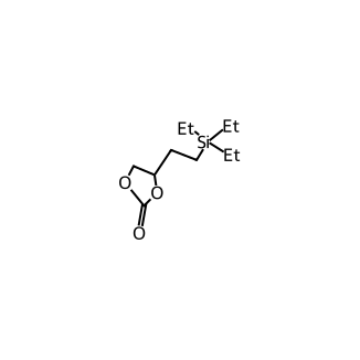 CC[Si](CC)(CC)CCC1COC(=O)O1